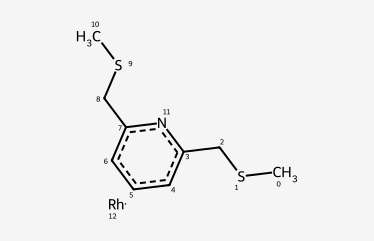 CSCc1cccc(CSC)n1.[Rh]